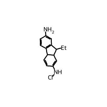 CCC1c2cc(N)ccc2C2C=CC(NCl)=CC21